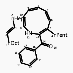 CCCCCCCC=CCCCCCCCC.CCCCCc1cccccc[nH]c1C(=O)c1ccccc1